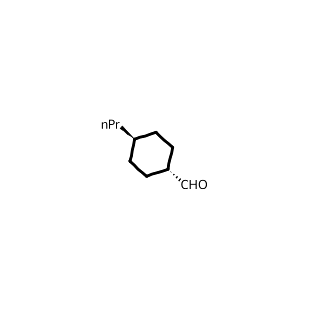 CCC[C@H]1CC[C@H](C=O)CC1